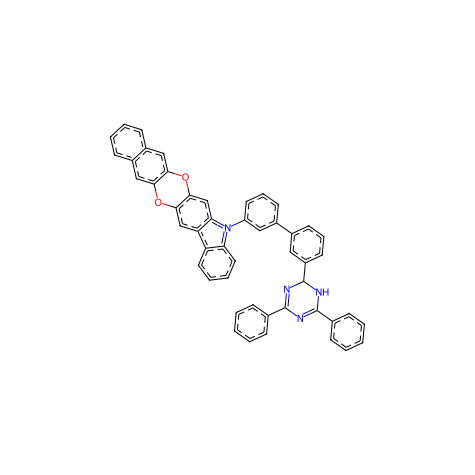 c1ccc(C2=NC(c3cccc(-c4cccc(-n5c6ccccc6c6cc7c(cc65)Oc5cc6ccccc6cc5O7)c4)c3)NC(c3ccccc3)=N2)cc1